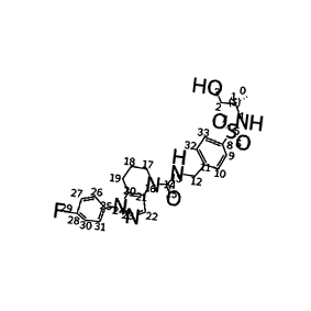 C[C@@H](CO)NS(=O)(=O)c1ccc(CNC(=O)N2CCCc3c2cnn3-c2ccc(F)cc2)cc1